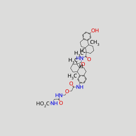 C[C@]1(C(=O)NC(=O)[C@@]2(C)CCC[C@]3(C)c4cc(NC(=O)COCNC(=O)CNC(=O)O)ccc4CC[C@@H]23)CCC[C@]2(C)c3cc(O)ccc3CC[C@@H]12